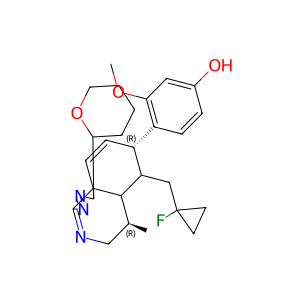 COc1cc(O)ccc1[C@H]1C=CC23C(=NC[C@H](C)C2C1CC1(F)CC1)N=NC3C1CCCCO1